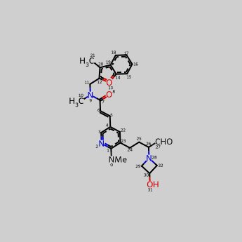 CNc1ncc(/C=C/C(=O)N(C)Cc2oc3ccccc3c2C)cc1CCC(C=O)N1CC(O)C1